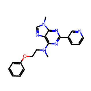 CN(CCOc1ccccc1)c1nc(-c2cccnc2)nc2c1ncn2C